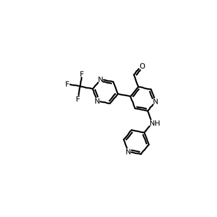 O=Cc1cnc(Nc2ccncc2)cc1-c1cnc(C(F)(F)F)nc1